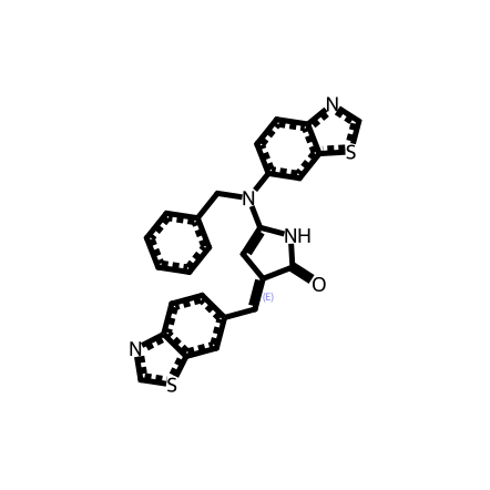 O=C1NC(N(Cc2ccccc2)c2ccc3ncsc3c2)=C/C1=C\c1ccc2ncsc2c1